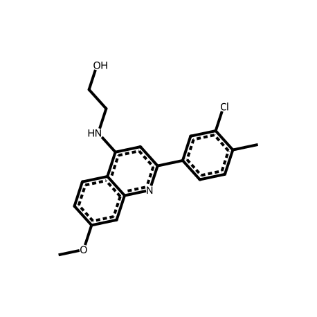 COc1ccc2c(NCCO)cc(-c3ccc(C)c(Cl)c3)nc2c1